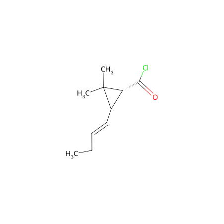 CC/C=C/C1[C@@H](C(=O)Cl)C1(C)C